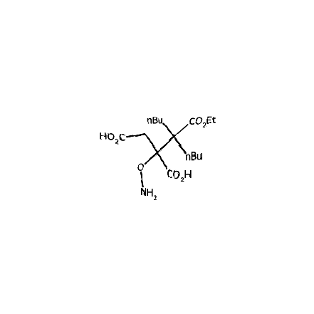 CCCCC(CCCC)(C(=O)OCC)C(CC(=O)O)(ON)C(=O)O